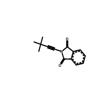 CC(C)(C)C#CN1C(=O)c2ccccc2C1=O